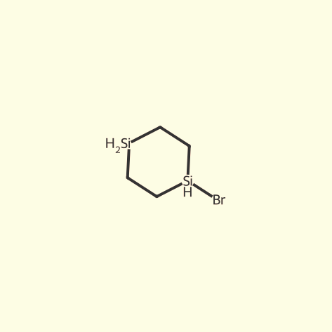 Br[SiH]1CC[SiH2]CC1